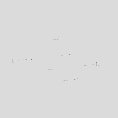 CCC(=O)OC1CCC(N)CC1.Cl